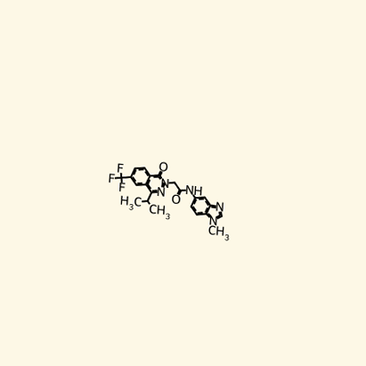 CC(C)c1nn(CC(=O)Nc2ccc3c(c2)ncn3C)c(=O)c2ccc(C(F)(F)F)cc12